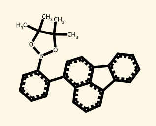 CC1(C)OB(c2ccccc2-c2ccc3c4c(cccc24)-c2ccccc2-3)OC1(C)C